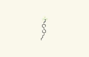 CCCCC[C@H]1CC[C@H]([C@H]2CC[C@H](C=CC(F)(F)F)CC2)CC1